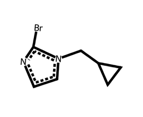 Brc1nccn1CC1CC1